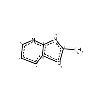 Cc1nc2ncc[c]c2o1